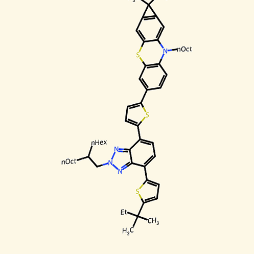 CCCCCCCCC(CCCCCC)Cn1nc2c(-c3ccc(-c4ccc5c(c4)Sc4cc6c(cc4N5CCCCCCCC)C6(C)C)s3)ccc(-c3ccc(C(C)(C)CC)s3)c2n1